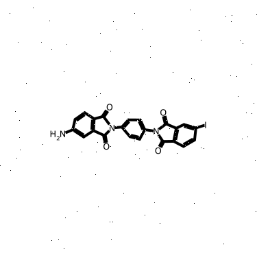 Nc1ccc2c(c1)C(=O)N(c1ccc(N3C(=O)c4ccc(I)cc4C3=O)cc1)C2=O